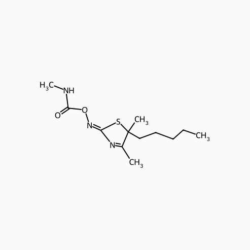 CCCCCC1(C)SC(=NOC(=O)NC)N=C1C